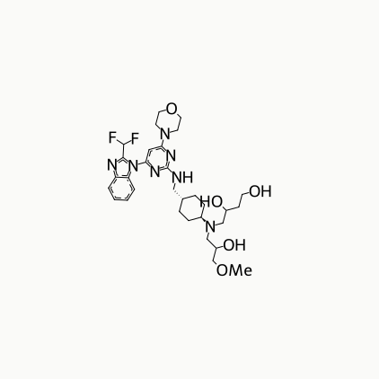 COCC(O)CN(CC(O)CCO)[C@H]1CC[C@H](CNc2nc(N3CCOCC3)cc(-n3c(C(F)F)nc4ccccc43)n2)CC1